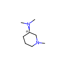 CN1CCC[C@@H](N(C)C)C1